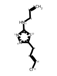 C=CCNc1nnc(CC=CCl)s1